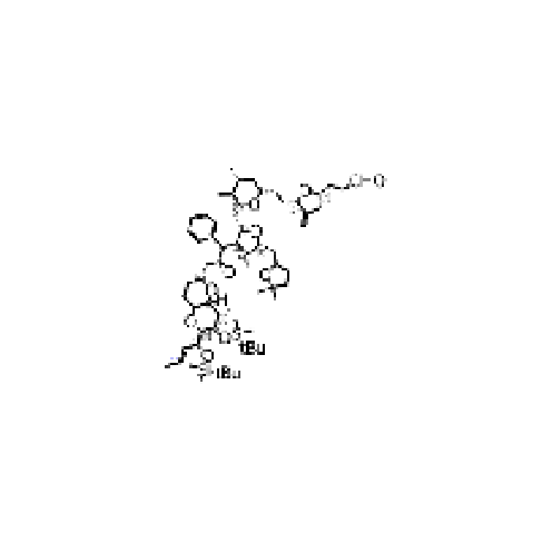 C=C1C[C@H](CCC=O)O[C@H]1CC[C@H]1C[C@@H](C)C(=C)[C@@H](C[C@@H]2O[C@H](C[C@H]3CCC(C)(C)O3)[C@H](C)[C@H]2C(C(=O)C[C@H]2CCC3O[C@@H]([C@H](/C=C/C)O[Si](C)(C)C(C)(C)C)[C@@H](O[Si](C)(C)C(C)(C)C)[C@@H](C)[C@H]3O2)c2ccccc2)O1